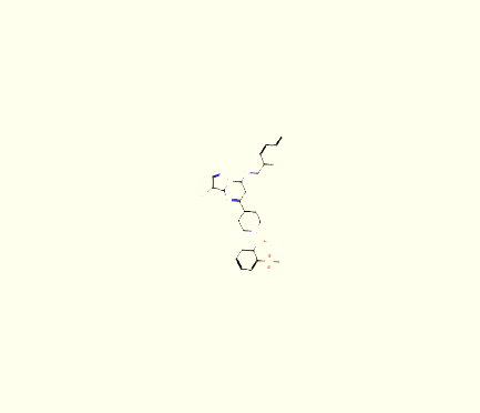 C=C/C=C\C(CC)CNC1CC(C2CCN([S+]([O-])C3CC=CC=C3S(C)(=O)=O)CC2)=NC2C(Br)C=NN12